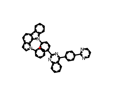 c1ccc(-n2ccc3ccc4c5ccccc5n(-c5ccc(-c6nc(-c7ccc(-c8ncccn8)cc7)c7ccccc7n6)cc5)c4c32)cc1